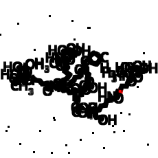 CC(=O)NC1C(OCCCCCC(=O)NCCCCCC(=O)N(CCO)CCOP(=O)(O)OCCN(CCOP(=O)(O)OCCN(CCOC2CCCC(C)CCC2)C(=O)CCCCCNC(=O)CCCCCOC2OC(CO)C(O)C(O)C2NC(C)=O)C(=O)CCCCCNC(=O)CCCCCOC2OC(CO)C(O)C(O)C2NC(C)=O)OC(CO)C(O)C1O